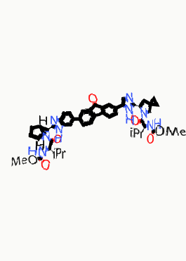 COC(=O)N[C@H](C(=O)N1[C@@H]2CC[C@@H](C2)[C@H]1c1nc2ccc(-c3ccc4c(c3)C(=O)c3cc(-c5cnc([C@@H]6CC7(CC7)CN6C(=O)[C@H](NC(=O)OC)C(C)C)[nH]5)ccc3-4)cc2[nH]1)C(C)C